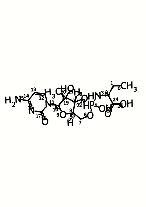 CC[C@H](N[PH]1(O)OC[C@H]2O[C@@H](n3ccc(N)nc3=O)[C@](C)(O)[C@@H]2O1)C(=O)O